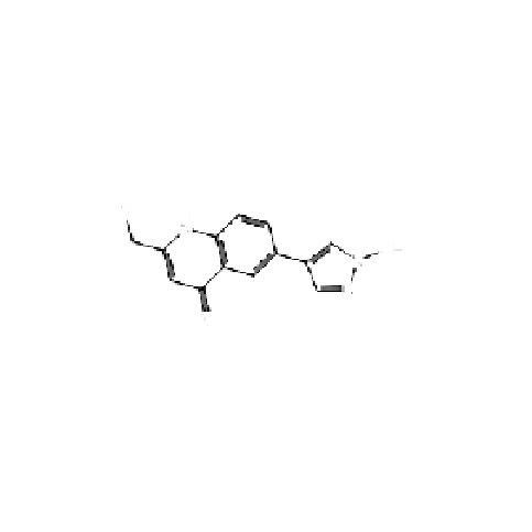 Cn1cc(-c2ccc3[nH]c(CN)cc(=O)c3c2)cn1